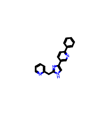 c1ccc(-c2ccc(-c3c[nH]c(Cc4ccccn4)n3)cn2)cc1